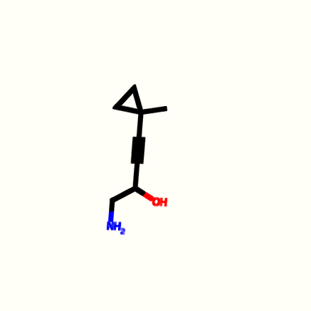 CC1(C#CC(O)CN)CC1